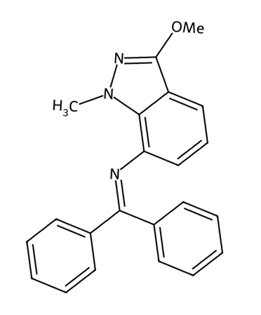 COc1nn(C)c2c(N=C(c3ccccc3)c3ccccc3)cccc12